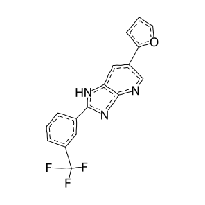 FC(F)(F)c1cccc(-c2nc3ncc(-c4ccco4)cc3[nH]2)c1